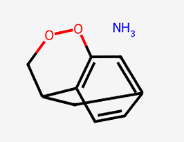 N.c1cc2c3cc1CC2COO3